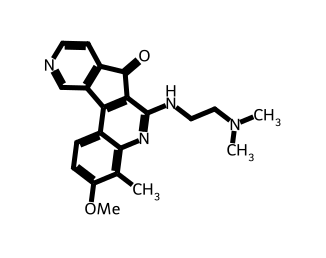 COc1ccc2c3c(c(NCCN(C)C)nc2c1C)C(=O)c1ccncc1-3